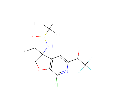 CCC1(N[S+]([O-])C(C)(C)C)COc2c1cc(C(O)C(F)(F)F)nc2Cl